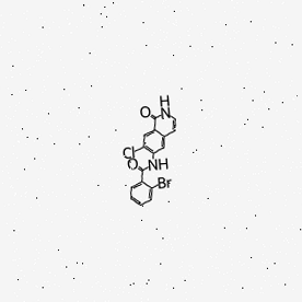 O=C(Nc1cc2cc[nH]c(=O)c2cc1Cl)c1ccccc1Br